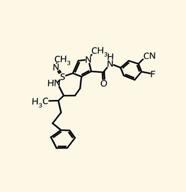 C/N=S1/NC(C(C)CCc2ccccc2)CCc2c1cn(C)c2C(=O)Nc1ccc(F)c(C#N)c1